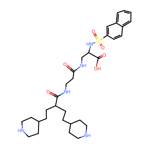 O=C(CCNC(=O)C(CCC1CCNCC1)CCC1CCNCC1)NCC(NS(=O)(=O)c1ccc2ccccc2c1)C(=O)O